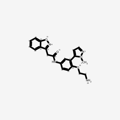 Cn1nccc1-c1cc(NC(=O)Cc2noc3ccccc23)ccc1OCCN